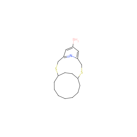 Bc1cc2nc(c1)CSC1CCCCCCCC(CC1)SC2